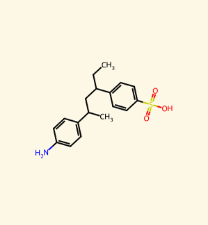 CCC(CC(C)c1ccc(N)cc1)c1ccc(S(=O)(=O)O)cc1